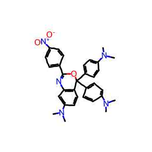 CN(C)c1ccc(C2(c3ccc(N(C)C)cc3)OC(c3ccc([N+](=O)[O-])cc3)=Nc3cc(N(C)C)ccc32)cc1